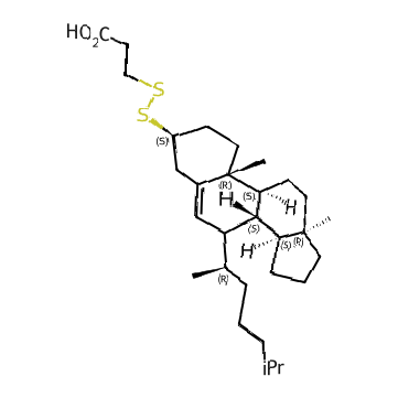 CC(C)CCC[C@@H](C)C1C=C2C[C@@H](SSCCC(=O)O)CC[C@]2(C)[C@H]2CC[C@@]3(C)CCC[C@H]3[C@H]12